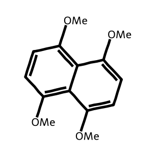 COc1ccc(OC)c2c(OC)ccc(OC)c12